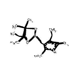 CCOC(=O)c1[nH]c(C(F)(F)F)c(C)c1B1OC(C)(C)C(C)(C)O1